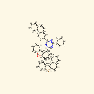 C1=CCC(c2nc(-c3ccc4c(ccc5ccccc54)c3)nc(-c3ccc(-c4cccc5sc6ccc7ccccc7c6c45)c4oc5ccccc5c34)n2)C=C1